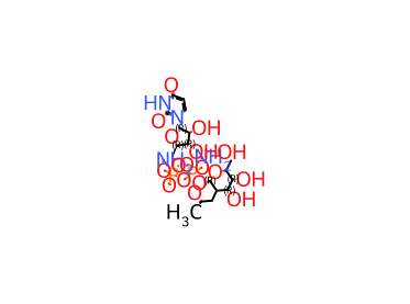 CC(=O)CC1[C@@H](OP(=O)(ON)OP(=O)(ON)OC[C@H]2O[C@@H](n3ccc(=O)[nH]c3=O)C(O)[C@H]2O)OC(CO)[C@H](O)[C@@H]1O